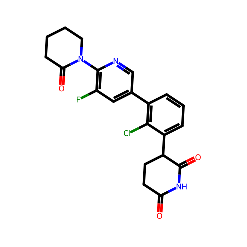 O=C1CCC(c2cccc(-c3cnc(N4CCCCC4=O)c(F)c3)c2Cl)C(=O)N1